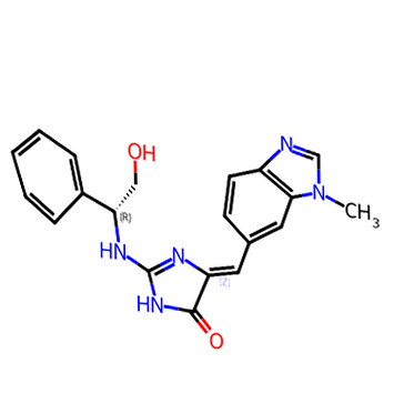 Cn1cnc2ccc(/C=C3\N=C(N[C@@H](CO)c4ccccc4)NC3=O)cc21